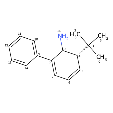 CC(C)(C)[C@@H]1C=CC=C(c2ccccc2)C1N